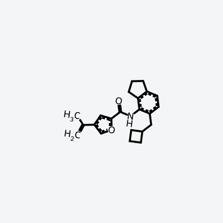 C=C(C)c1coc(C(=O)Nc2c(CC3CCC3)ccc3c2CCC3)c1